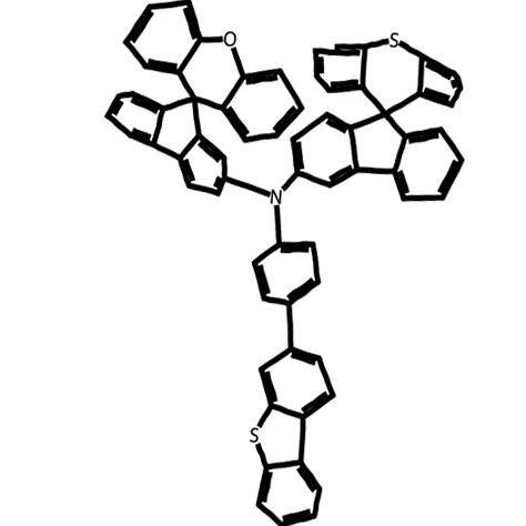 c1ccc2c(c1)Oc1ccccc1C21c2ccccc2-c2ccc(N(c3ccc(-c4ccc5c(c4)sc4ccccc45)cc3)c3ccc4c(c3)-c3ccccc3C43c4ccccc4Sc4ccccc43)cc21